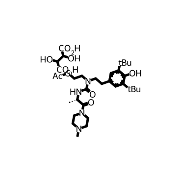 CC(=O)SCCN(CCc1cc(C(C)(C)C)c(O)c(C(C)(C)C)c1)C(=O)N[C@@H](C)C(=O)N1CCN(C)CC1.O=C(O)C(O)C(O)C(=O)O